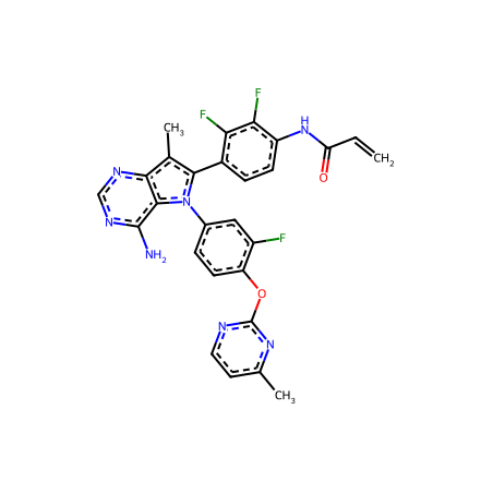 C=CC(=O)Nc1ccc(-c2c(C)c3ncnc(N)c3n2-c2ccc(Oc3nccc(C)n3)c(F)c2)c(F)c1F